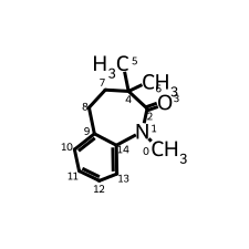 CN1C(=O)C(C)(C)CCc2ccccc21